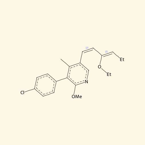 CC/C=C(/C=C\c1cnc(OC)c(-c2ccc(Cl)cc2)c1C)OCC